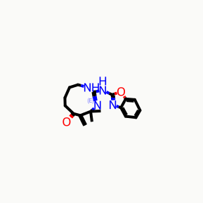 C=C1C(=O)CCCCN/C(Nc2nc3ccccc3o2)=N\C1(C)C